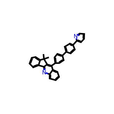 CC1(C)c2ccccc2-c2nc3ccccc3c(-c3ccc(-c4ccc(-c5ccccn5)cc4)cc3)c21